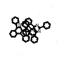 c1ccc(-c2nc(-c3ccccc3)nc(-c3cccc(-n4c5ccccc5c5c6ccccc6c6c(c54)C4(c5ccccc5-c5ccccc54)c4ccccc4-6)c3-c3ccccc3)n2)cc1